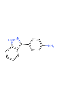 Nc1ccc(-c2n[nH]c3ccccc23)cc1